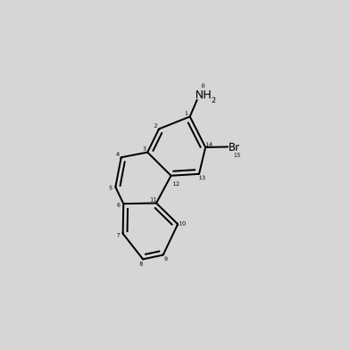 Nc1cc2ccc3ccccc3c2cc1Br